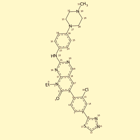 CCn1c(=O)c(-c2ccc(-c3nncs3)cc2Cl)cc2cnc(Nc3ccc(N4CCN(C)CC4)cc3)nc21